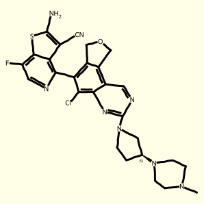 CN1CCN([C@H]2CCN(c3ncc4c5c(c(-c6ncc(F)c7sc(N)c(C#N)c67)c(Cl)c4n3)COC5)C2)CC1